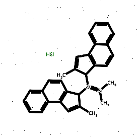 CC1=Cc2c(ccc3ccccc23)[CH]1[Zr]([CH]1C(C)=Cc2c1ccc1ccccc21)=[Si](C)C.Cl